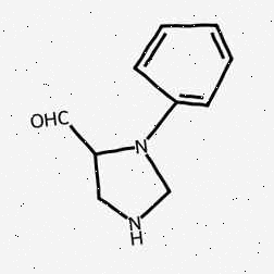 O=CC1CNCN1c1ccccc1